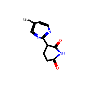 CC(C)(C)C1=C=NC(C2CCC(=O)NC2=O)=NC=C1